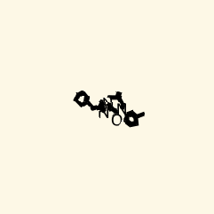 C=C1CN(c2cccc(C)c2)C(=O)c2nc(CC3=CC=CCC3)cn2C1